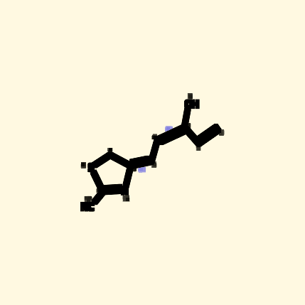 C=C/C(O)=C\C=C1/CSC(C#N)=N1